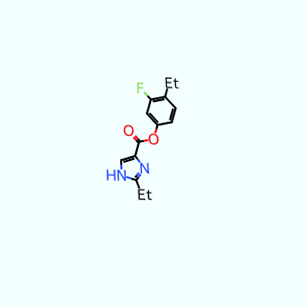 CCc1nc(C(=O)Oc2ccc(CC)c(F)c2)c[nH]1